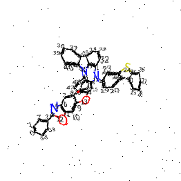 c1ccc(-c2nc3cc4c(cc3o2)oc2cc(N(c3ccc5c(c3)sc3ccccc35)c3cccc5c6ccccc6n(-c6ccccc6)c35)ccc24)cc1